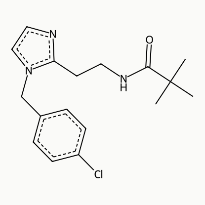 CC(C)(C)C(=O)NCCc1nccn1Cc1ccc(Cl)cc1